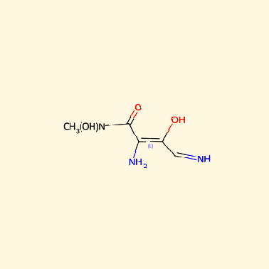 CN(O)C(=O)/C(N)=C(\O)C=N